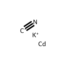 [C-]#N.[Cd].[K+]